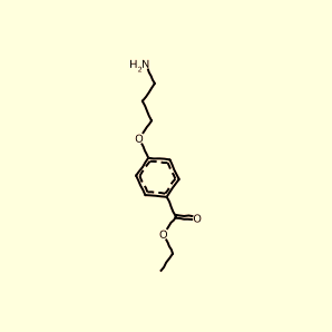 CCOC(=O)c1ccc(OCCCN)cc1